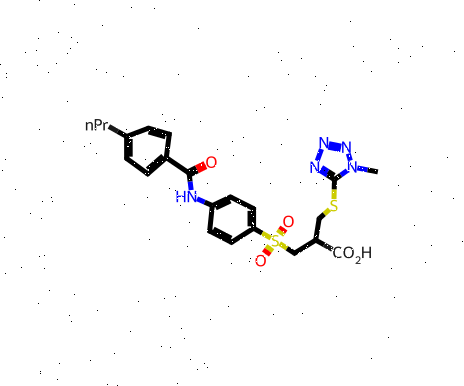 CCCc1ccc(C(=O)Nc2ccc(S(=O)(=O)CC(CSc3nnnn3C)C(=O)O)cc2)cc1